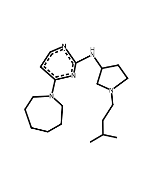 CC(C)CCN1CCC(Nc2nccc(N3CCCCCC3)n2)C1